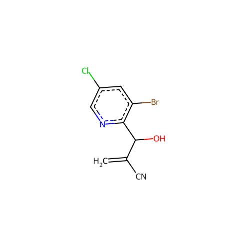 C=C(C#N)C(O)c1ncc(Cl)cc1Br